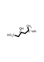 CCC[C@@H](C)C[C@@H](O)CC(=O)O